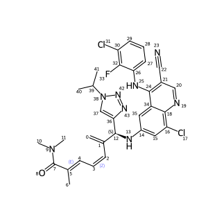 C=C(/C=C\C=C(/C)C(=O)N(C)C)[C@H](Nc1cc(Cl)c2ncc(C#N)c(Nc3cccc(Cl)c3F)c2c1)c1cn(C(C)C)nn1